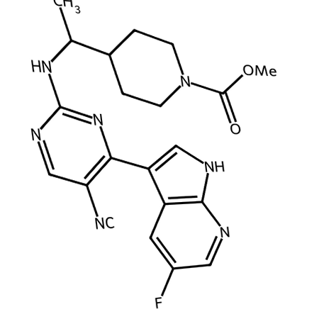 [C-]#[N+]c1cnc(NC(C)C2CCN(C(=O)OC)CC2)nc1-c1c[nH]c2ncc(F)cc12